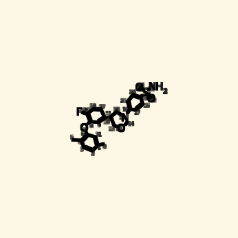 Cc1ccc(C)c(Oc2cc([C@H]3COCN(c4ccc(S(N)(=O)=O)cc4)C3)ccc2F)c1